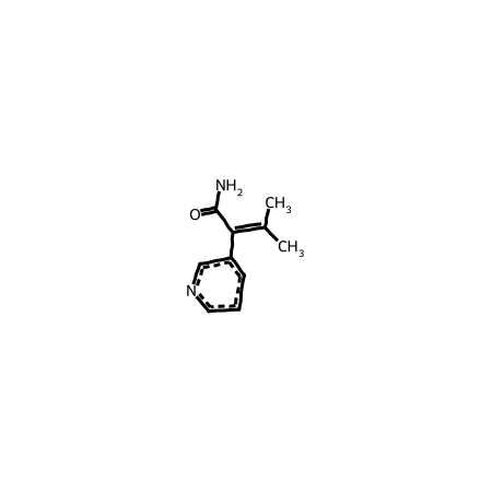 CC(C)=C(C(N)=O)c1cccnc1